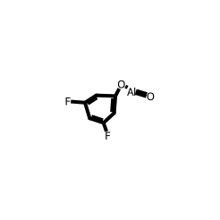 [O]=[Al][O]c1cc(F)cc(F)c1